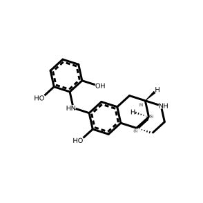 Oc1cc2c(cc1Nc1c(O)cccc1O)C[C@@H]1NCC[C@]23CCCC[C@H]13